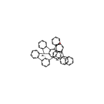 c1ccc(-c2cc(-c3cccc4c3[C@]3(c5ccccc5-4)c4ccccc4-c4c3cc3c5c(cccc45)-c4ccccc4-3)nc(-c3ccccc3)n2)cc1